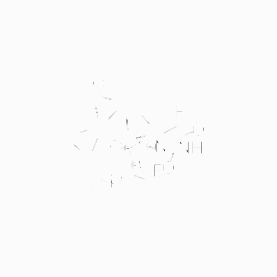 COc1ccc(C(O[C@H]2[C@H](F)[C@H](n3cc(F)c(=O)[nH]c3=O)O[C@]2(/C=C\F)CO[Si](C)(C)C(C)(C)C)(c2ccccc2)c2ccccc2)cc1